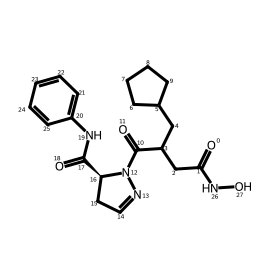 O=C(CC(CC1CCCC1)C(=O)N1N=CC[C@H]1C(=O)Nc1ccccc1)NO